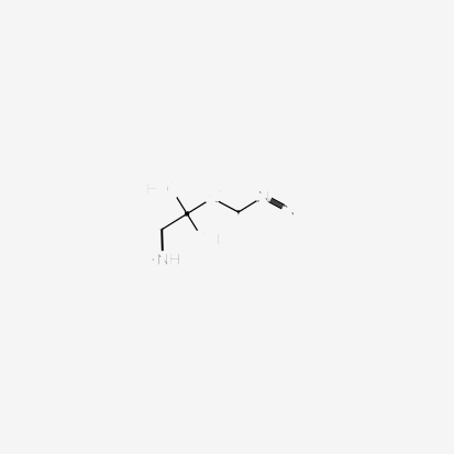 CC(C)(CN)SCN=N